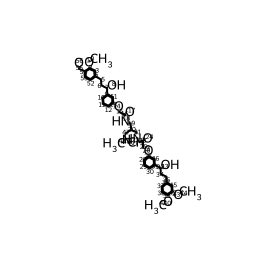 COc1cc(CC[C@@H](O)c2cccc(OCC(=O)NCC(CNC(=O)COc3cccc([C@H](O)CCc4ccc(OC)c(OC)c4)c3)CN(C)C)c2)ccc1C=O